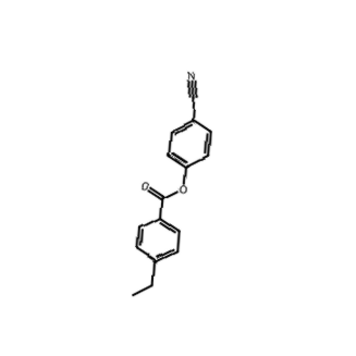 CCc1ccc(C(=O)Oc2ccc(C#N)cc2)cc1